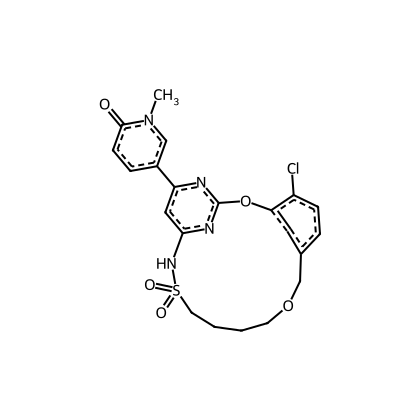 Cn1cc(-c2cc3nc(n2)Oc2cc(ccc2Cl)COCCCCS(=O)(=O)N3)ccc1=O